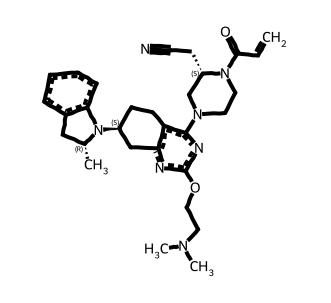 C=CC(=O)N1CCN(c2nc(OCCN(C)C)nc3c2CC[C@H](N2c4ccccc4C[C@H]2C)C3)C[C@@H]1CC#N